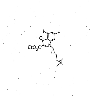 CCOC(=O)c1cn(COCC[Si](C)(C)C)c2cc(F)cc(I)c2c1=O